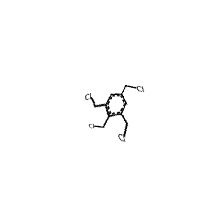 ClCc1cc(CCl)c(CCl)c(CCl)c1